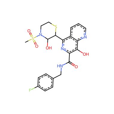 CS(=O)(=O)N1CCSC(c2nc(C(=O)NCc3ccc(F)cc3)c(O)c3ncccc23)C1O